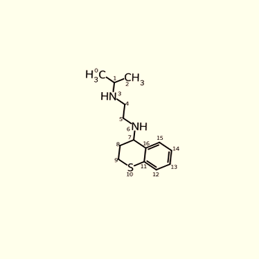 CC(C)NCCNC1CCSc2ccccc21